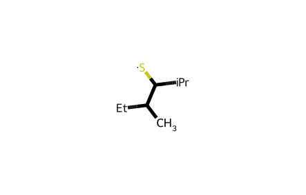 CCC(C)C([S])C(C)C